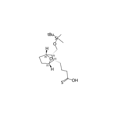 CC(C)(C)[Si](C)(C)OC[C@@H]1[C@H](CCCC(O)=S)[C@@H]2CC[C@H]1O2